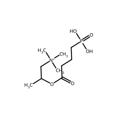 CC(C[N+](C)(C)C)OC(=O)CCCP(=O)(O)O